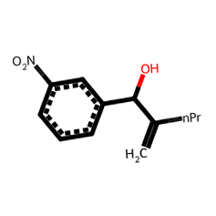 C=C(CCC)C(O)c1cccc([N+](=O)[O-])c1